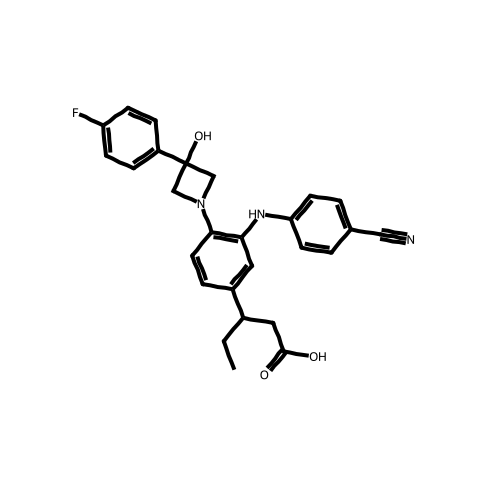 CCC(CC(=O)O)c1ccc(N2CC(O)(c3ccc(F)cc3)C2)c(Nc2ccc(C#N)cc2)c1